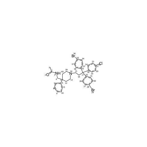 CC(=O)NCC1(c2ccccc2)CCN(CCC(c2ccc(Cl)cc2)(c2ccc(Br)cc2)c2ccc(Br)cc2)CC1